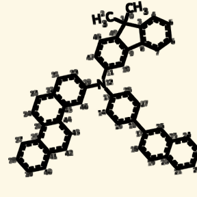 CC1(C)c2ccccc2-c2cc(N(c3ccc(-c4ccc5ccccc5c4)cc3)c3ccc4ccc5c6ccccc6ccc5c4c3)ccc21